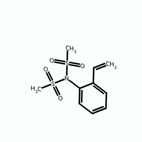 C=Cc1ccccc1N(S(C)(=O)=O)S(C)(=O)=O